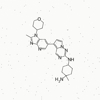 Cc1nc2ncc(-c3ccn4nc(NC5CCC(C)(N)CC5)ncc34)cc2n1C1CCOCC1